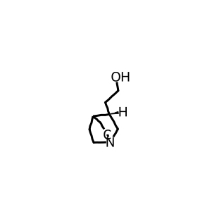 OCC[C@@H]1CN2CCC1CC2